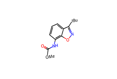 COC(=O)Nc1cccc2c(C(C)(C)C)noc12